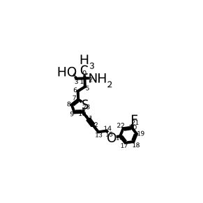 CC(N)(CO)CCc1ccc(C#CCCOc2cccc(F)c2)s1